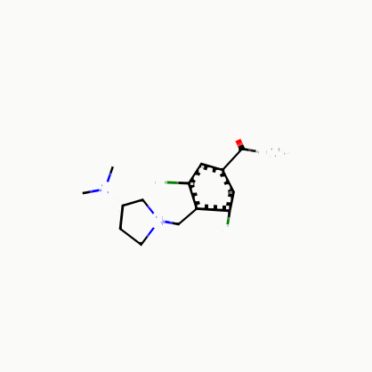 COC(=O)c1cc(Cl)c(CN2CC[C@H](N(C)C)C2)c(Cl)c1